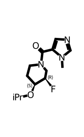 CC(C)O[C@H]1CCN(C(=O)c2cncn2C)C[C@H]1F